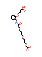 O=C(O)CCCCCCCCCCCC(=O)NCc1ccccc1OCCCC(=O)O